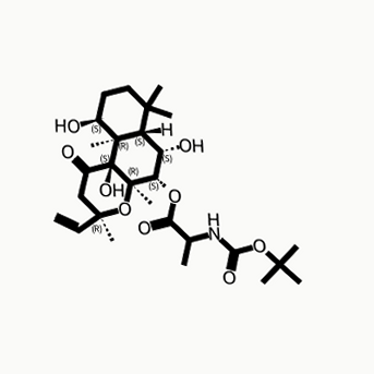 C=C[C@@]1(C)CC(=O)[C@]2(O)[C@@]3(C)[C@@H](O)CCC(C)(C)[C@@H]3[C@H](O)[C@H](OC(=O)C(C)NC(=O)OC(C)(C)C)[C@@]2(C)O1